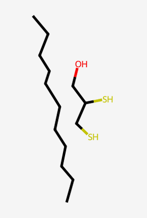 CCCCCCCCCCC.OCC(S)CS